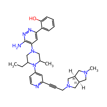 CCC1CN(c2cc(-c3ccccc3O)nnc2N)CC(C)N1c1ccnc(C#CCN2C[C@H]3CN(C)C[C@H]3C2)c1